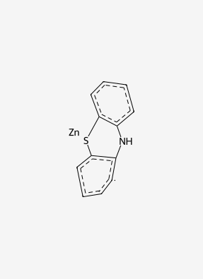 [Zn].[c]1cccc2c1Nc1ccccc1S2